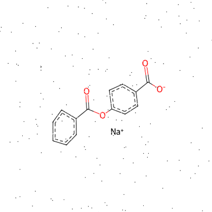 O=C([O-])c1ccc(OC(=O)c2ccccc2)cc1.[Na+]